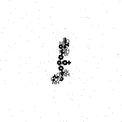 CNC(=O)O[C@H](C(=O)N1CCC[C@H]1c1nc(-c2ccc([C@@H]3CC[C@@H](c4ccc(-c5nc([C@@H]6CCCN6C(=O)[C@@H](NC(=O)OC)C(C)C)[nH]c5Br)cc4)N3c3ccc(C(C)(C)C)cc3)cc2)c(Br)[nH]1)C(C)C